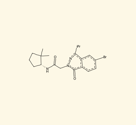 CC(C)c1nn(CC(=O)N[C@@H]2CCCC2(C)C)c(=O)c2ccc(Br)cc12